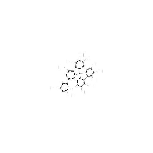 Cc1cc2c(c(C)c1C)-c1c(C)cc(-c3nc(C)c(C)c(C)c3C)cc1C21c2cc(C)c(C)c(C)c2-c2c1cc(C)c(C)c2C